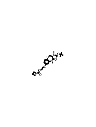 CN1C(=O)[C@@H](NC(=O)OC(C)(C)C)COc2ccc(OCCOC(=O)N3CCC3)cc21